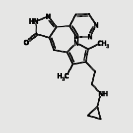 Cc1[nH]c(/C=C2/C(=O)NN=C2c2ccnnc2)c(C)c1CCNC1CC1